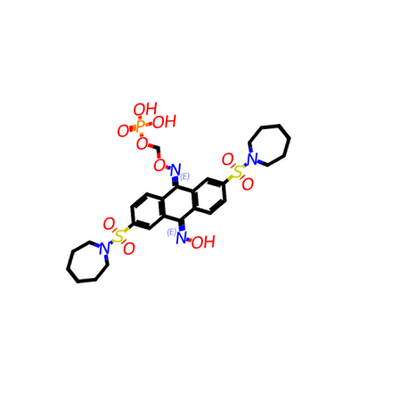 O=P(O)(O)OCO/N=C1\c2ccc(S(=O)(=O)N3CCCCCC3)cc2/C(=N/O)c2ccc(S(=O)(=O)N3CCCCCC3)cc21